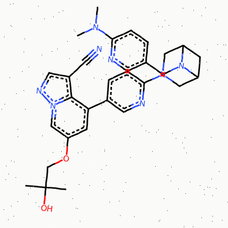 CN(C)c1ccc(CN2C3CC2CN(c2ccc(-c4cc(OCC(C)(C)O)cn5ncc(C#N)c45)cn2)C3)cn1